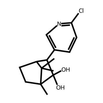 CC1(C)C2CCC1(C)C(O)(O)C2c1ccc(Cl)nc1